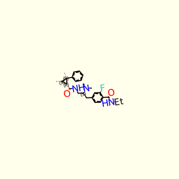 CCNC(=O)c1ccc(C[C@@H](CNC(=O)[C@@H]2[C@H](C)[C@@]2(C)c2ccccc2)N(C)C)cc1F